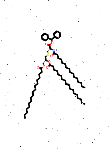 CCCCCCCCC=CCCCCCCCC(=O)OC[C@H](CSC[C@@H](NC(=O)CCCCCCCCCCCCCCC)C(=O)OC(c1ccccc1)c1ccccc1)OC(=O)CCCCCCCC=CCCCCCCCC